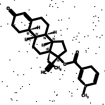 C#C[C@]1(OC(=O)C2=CN(C)C=CC2)CC[C@H]2[C@@H]3CCC4=CC(=O)CC[C@@H]4[C@H]3CC[C@@]21CC